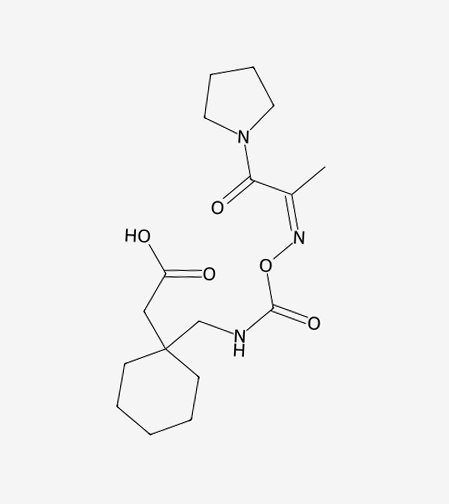 CC(=NOC(=O)NCC1(CC(=O)O)CCCCC1)C(=O)N1CCCC1